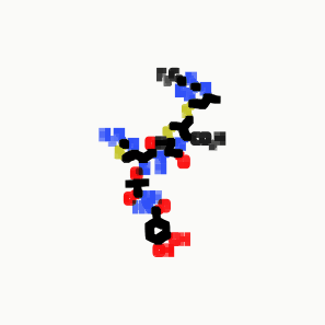 Cc1cc(SCC2=C(C(=O)O)N3C(=O)C(NC(=O)C(=NOC(C)(C)C(=O)NNC(=O)c4ccc(O)c(O)c4)c4csc(N)n4)[C@@H]3SC2)n2nc(C(F)(F)F)nc2n1